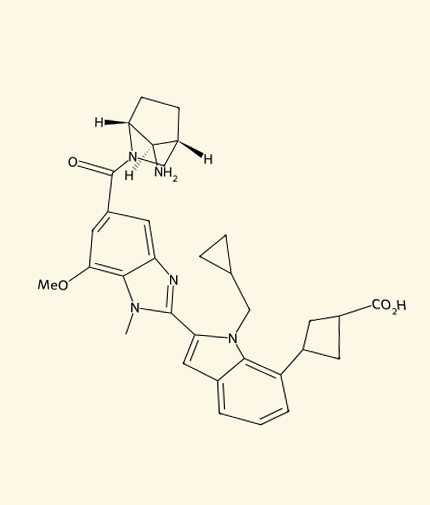 COc1cc(C(=O)N2C[C@H]3CC[C@@H]2[C@@H]3N)cc2nc(-c3cc4cccc(C5CC(C(=O)O)C5)c4n3CC3CC3)n(C)c12